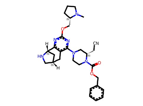 CN1CCC[C@H]1COc1nc2c(c(N3CCN(C(=O)OCc4ccccc4)[C@@H](CC#N)C3)n1)C[C@@H]1CN[C@H]2C1